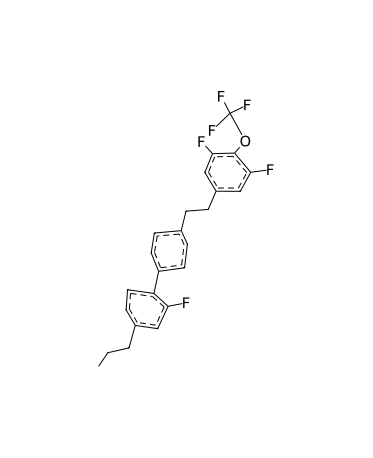 CCCc1ccc(-c2ccc(CCc3cc(F)c(OC(F)(F)F)c(F)c3)cc2)c(F)c1